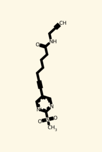 C#CCNC(=O)CCCCC#Cc1cnc(S(C)(=O)=O)nc1